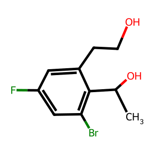 CC(O)c1c(Br)cc(F)cc1CCO